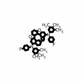 Cc1cc(N(c2ccc(F)cc2)c2cc3oc4ccc5oc6cc(N(c7ccc(F)cc7)c7cc(C)c(C)c(C)c7)c7ccccc7c6c5c4c3c3ccccc23)cc(C)c1C